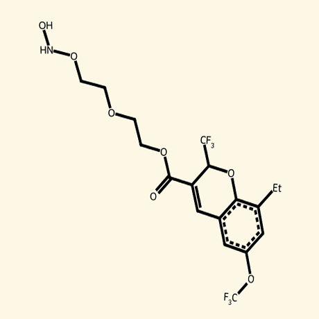 CCc1cc(OC(F)(F)F)cc2c1OC(C(F)(F)F)C(C(=O)OCCOCCONO)=C2